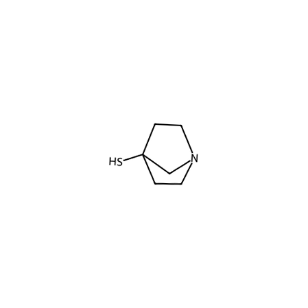 SC12CCN(CC1)C2